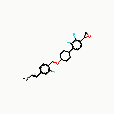 C/C=C/c1ccc(COC2CCC(c3ccc(C4CO4)c(F)c3F)CC2)c(F)c1